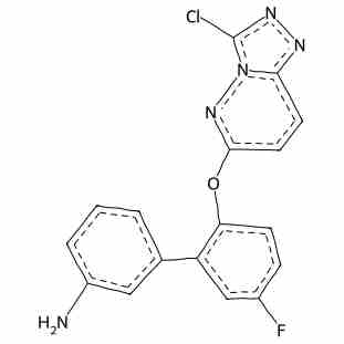 Nc1cccc(-c2cc(F)ccc2Oc2ccc3nnc(Cl)n3n2)c1